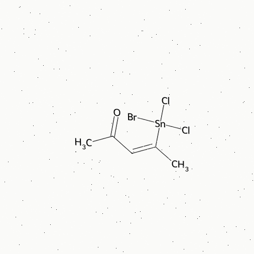 CC(=O)C=[C](C)[Sn]([Cl])([Cl])[Br]